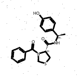 C[C@@H](NC(=O)[C@@H]1CSCN1C(=O)c1ccccc1)c1ccc(O)cc1